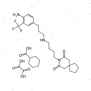 Nc1ccc(CCCNCCCCN2C(=O)CC3(CCCC3)CC2=O)cc1C(F)(F)F.O=C(O)C(=O)O.O=C(O)C1CCCCC1